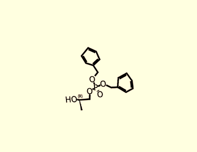 C[C@@H](O)COP(=O)(OCc1ccccc1)OCc1ccccc1